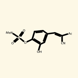 CNS(=O)(=O)Oc1ccc(/C=C(\C#N)C(C)=O)cc1O